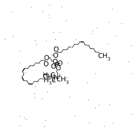 CCCCC/C=C\C/C=C\C/C=C\CCCCCCC(=O)O[C@H](COC(=O)CCCCCCC/C=C\CCCCCCC)COP(=O)([O-])OCC[N+](C)(C)C